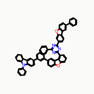 c1ccc(-c2ccc3oc4cc(-c5nc(-c6ccccc6)nc(-c6cccc7oc8ccc(-c9cccc(-c%10ccc%11c(c%10)c%10ccccc%10n%11-c%10ccccc%10)c9)cc8c67)n5)ccc4c3c2)cc1